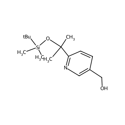 CC(C)(O[Si](C)(C)C(C)(C)C)c1ccc(CO)cn1